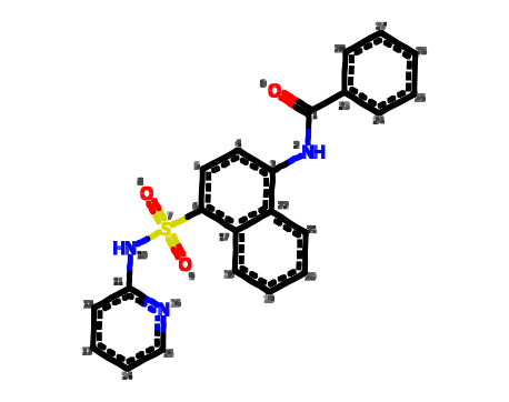 O=C(Nc1ccc(S(=O)(=O)Nc2ccccn2)c2ccccc12)c1ccccc1